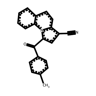 Cc1ccc(C(=O)c2cc(C#N)c3ccc4ccccc4n23)cc1